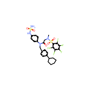 CN(CC(=O)N(Cc1ccc(C2CCCCC2)cc1)c1ccc(NS(N)(=O)=O)cc1)S(=O)(=O)c1c(F)c(F)c(F)c(F)c1F